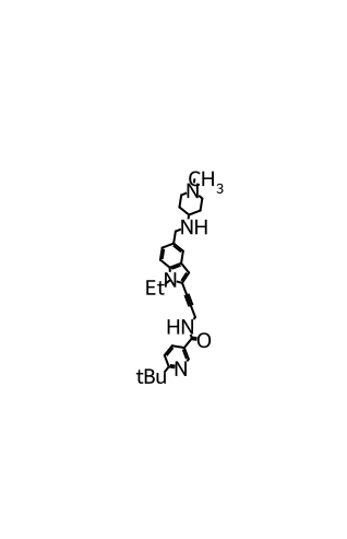 CCn1c(C#CCNC(=O)c2ccc(C(C)(C)C)nc2)cc2cc(CNC3CCN(C)CC3)ccc21